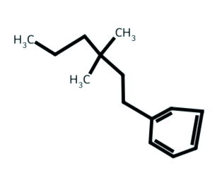 CCCC(C)(C)CCc1ccccc1